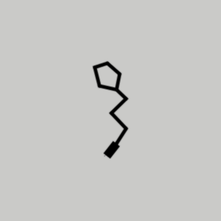 [C]#CCCCC1CCCC1